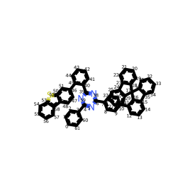 c1ccc(-c2nc(-c3ccc(-c4cccc5c4C4(c6ccccc6-c6ccccc64)c4ccccc4-5)cc3)nc(-c3ccccc3-c3ccc4c(c3)sc3ccccc34)n2)cc1